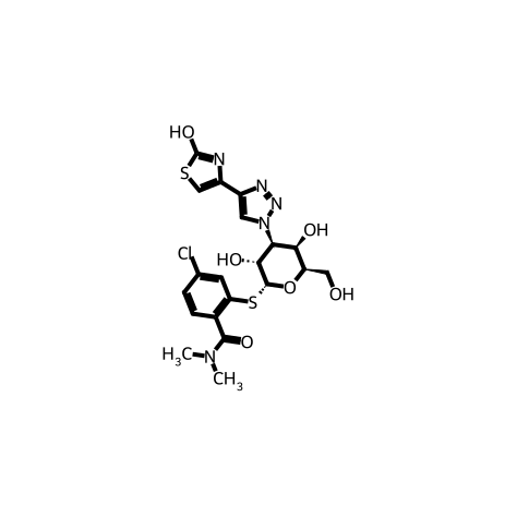 CN(C)C(=O)c1ccc(Cl)cc1S[C@H]1O[C@H](CO)[C@H](O)[C@H](n2cc(-c3csc(O)n3)nn2)[C@H]1O